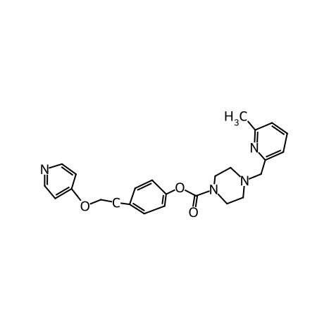 Cc1cccc(CN2CCN(C(=O)Oc3ccc(CCOc4ccncc4)cc3)CC2)n1